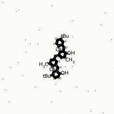 Cc1cc(Cc2cc(C)c(O)c(Cc3cc(C(C)(C)C)ccc3O)c2)cc(Cc2cc(C(C)(C)C)ccc2O)c1O